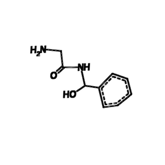 NCC(=O)NC(O)c1ccccc1